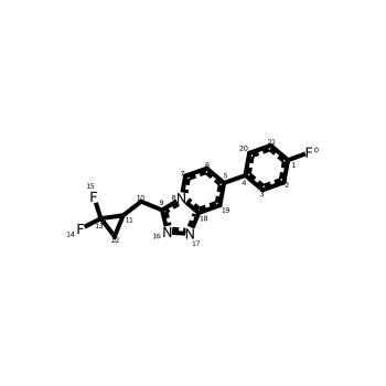 Fc1ccc(-c2ccn3c(CC4CC4(F)F)nnc3c2)cc1